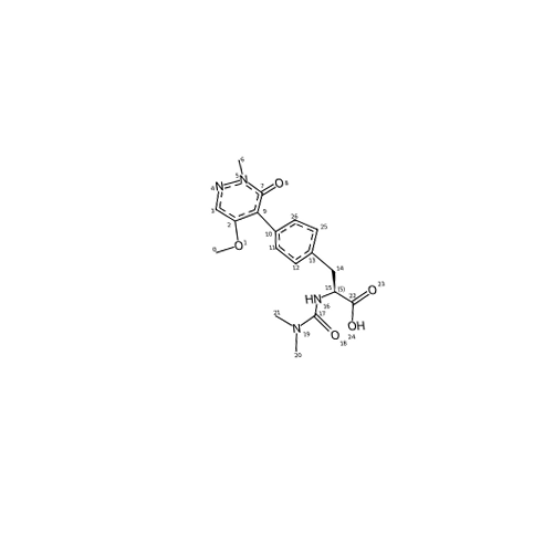 COc1cnn(C)c(=O)c1-c1ccc(C[C@H](NC(=O)N(C)C)C(=O)O)cc1